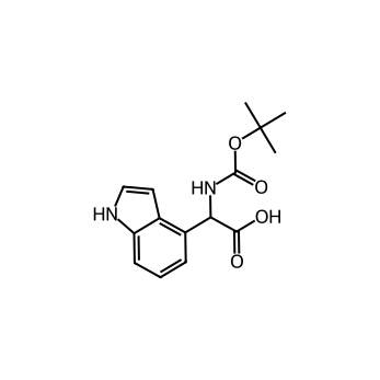 CC(C)(C)OC(=O)NC(C(=O)O)c1cccc2[nH]ccc12